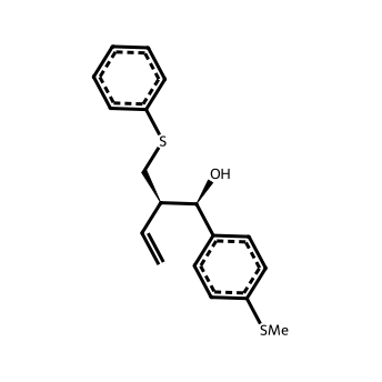 C=C[C@@H](CSc1ccccc1)[C@@H](O)c1ccc(SC)cc1